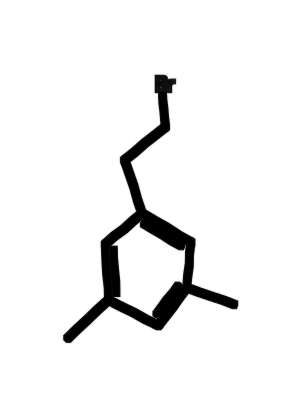 Cc1cc(C)cc(CCBr)c1